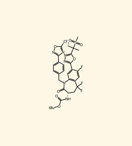 CC(C)(C)OC(=O)N[C@H]1CC(F)(F)c2cc(F)c(-c3nnc(C(C)(C)S(C)(=O)=O)o3)cc2N(Cc2ccc(-c3noc(C(F)(F)F)n3)cc2)C1=O